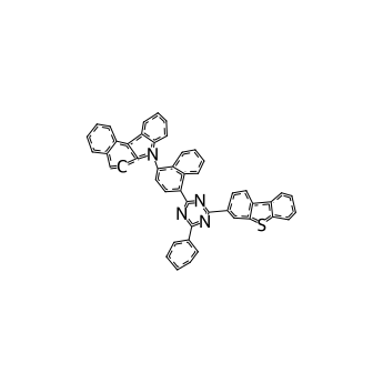 c1ccc(-c2nc(-c3ccc4c(c3)sc3ccccc34)nc(-c3ccc(-n4c5ccccc5c5c6ccccc6ccc54)c4ccccc34)n2)cc1